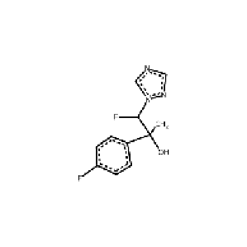 CC(O)(c1ccc(F)cc1)C(F)n1cncn1